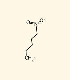 [CH2]CCCC[N+](=O)[O-]